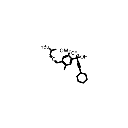 CCCCC(C)C=C=Cc1cc(OC)c(C(O)(C#CC2CCCCC2)C(F)(F)F)cc1C